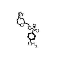 Cc1ccc(S(=O)(=O)OCC2CN(C(C)C)CCO2)cc1